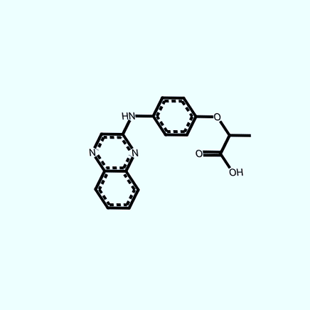 CC(Oc1ccc(Nc2cnc3ccccc3n2)cc1)C(=O)O